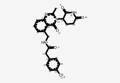 Cc1nc2cccc(CNC(=O)Cc3ccc(C(F)(F)F)cc3)c2c(=O)n1C1CCC(=O)NC1=O